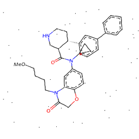 COCCCCN1C(=O)COc2ccc(N(C(=O)C3CNCC[C@@H]3c3cccc(-c4ccccc4)c3)C3CC3)cc21